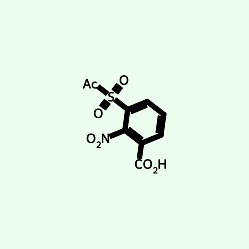 CC(=O)S(=O)(=O)c1cccc(C(=O)O)c1[N+](=O)[O-]